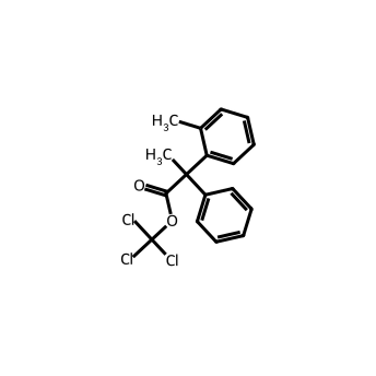 Cc1ccccc1C(C)(C(=O)OC(Cl)(Cl)Cl)c1ccccc1